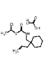 C=CCC1(CNC(=O)OC(C)Cl)CCCCC1.CC(=O)O